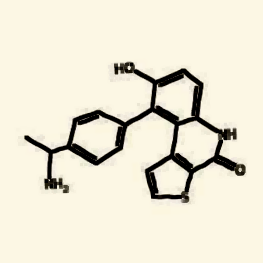 CC(N)c1ccc(-c2c(O)ccc3[nH]c(=O)c4sccc4c23)cc1